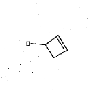 ClC1C=CC1